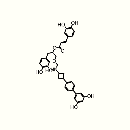 O=C(/C=C/c1ccc(O)c(O)c1)O[C@@H](COCNC1CC(c2ccc(-c3cc(O)cc(O)c3)cc2)C1)Cc1ccc(O)c(O)c1